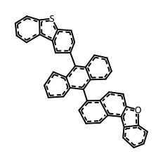 c1ccc2c(c1)oc1ccc3c(-c4c5ccccc5c(-c5ccc6sc7ccccc7c6c5)c5ccccc45)cccc3c12